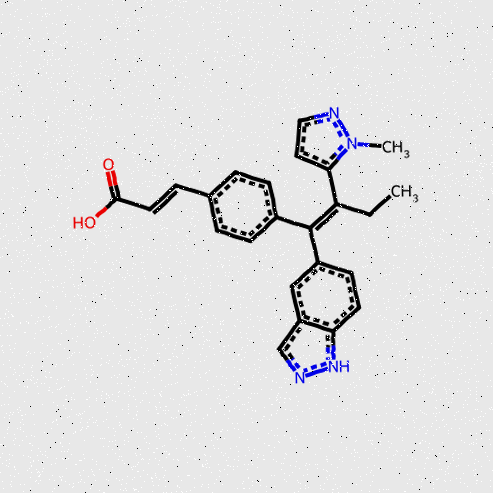 CC/C(=C(/c1ccc(/C=C/C(=O)O)cc1)c1ccc2[nH]ncc2c1)c1ccnn1C